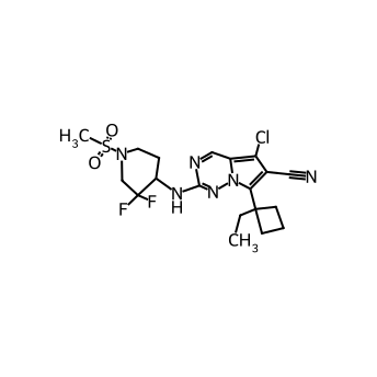 CCC1(c2c(C#N)c(Cl)c3cnc(NC4CCN(S(C)(=O)=O)CC4(F)F)nn23)CCC1